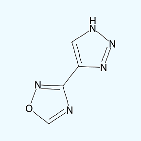 c1nc(-c2c[nH]nn2)no1